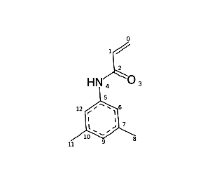 C=CC(=O)Nc1cc(C)cc(C)c1